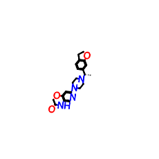 C[C@@H](c1ccc2c(c1)OCC2)N1CCN(c2cc3c(cn2)NC(=O)CO3)CC1